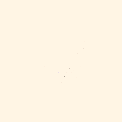 CCCCC(/C=C/[C@@H]1[C@H]2CC=C(c3cccc(C(=O)O)c3)CO[C@H]2C[C@H]1O)COc1ccccc1